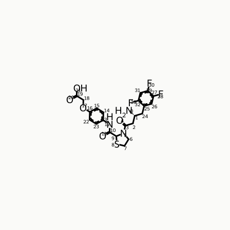 N[C@@H](CC(=O)N1CCSC1C(=O)Nc1ccc(OCC(=O)O)cc1)Cc1cc(F)c(F)cc1F